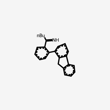 CCCCC(=N)c1ccccc1-c1cccc2c1Cc1ccccc1-2